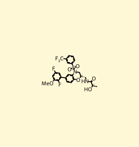 COc1cc(F)cc(-c2ccc3c(c2)N(S(=O)(=O)c2cccc(C(F)(F)F)c2)C[C@H](CNC(=O)[C@@H](C)O)O3)c1F